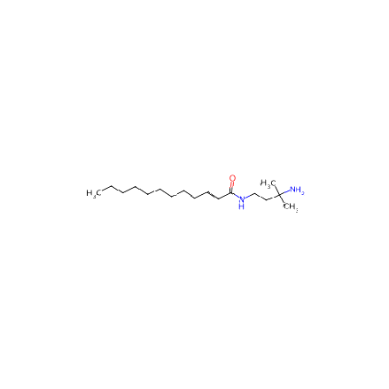 CCCCCCCCCCCC(=O)NCCC(C)(C)N